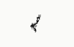 O=C(NCCOc1ccc(-c2noc(C(F)(F)F)n2)cc1)c1oc2ccccc2c1C[S+]([O-])c1ccc(F)cc1